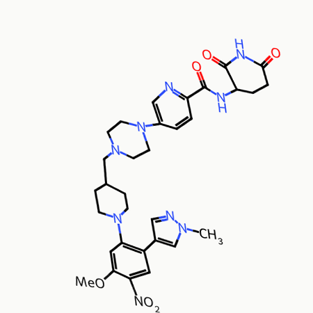 COc1cc(N2CCC(CN3CCN(c4ccc(C(=O)NC5CCC(=O)NC5=O)nc4)CC3)CC2)c(-c2cnn(C)c2)cc1[N+](=O)[O-]